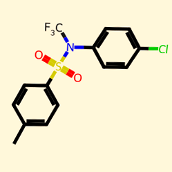 Cc1ccc(S(=O)(=O)N(c2ccc(Cl)cc2)C(F)(F)F)cc1